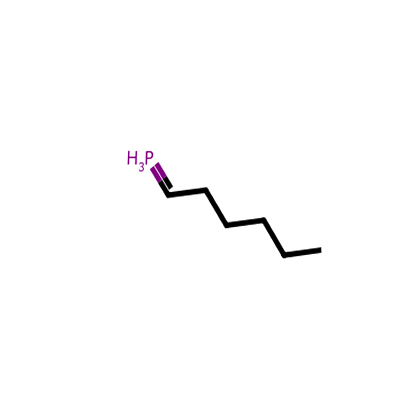 CCCCCC=[PH3]